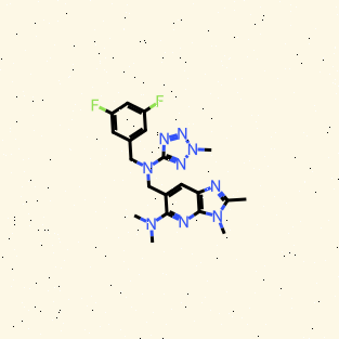 Cc1nc2cc(CN(Cc3cc(F)cc(F)c3)c3nnn(C)n3)c(N(C)C)nc2n1C